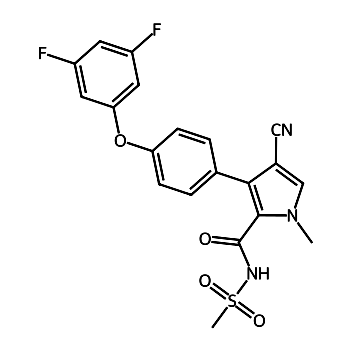 Cn1cc(C#N)c(-c2ccc(Oc3cc(F)cc(F)c3)cc2)c1C(=O)NS(C)(=O)=O